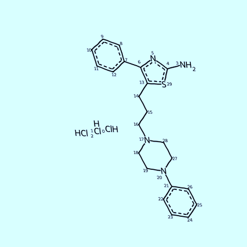 Cl.Cl.Cl.Nc1nc(-c2ccccc2)c(CCCN2CCN(c3ccccc3)CC2)s1